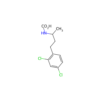 CC(CCc1ccc(Cl)cc1Cl)NC(=O)O